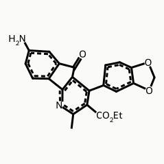 CCOC(=O)c1c(C)nc2c(c1-c1ccc3c(c1)OCO3)C(=O)c1cc(N)ccc1-2